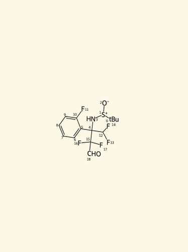 CC(C)(C)[S+]([O-])NC(c1ccccc1F)(C(F)F)C(F)(F)C=O